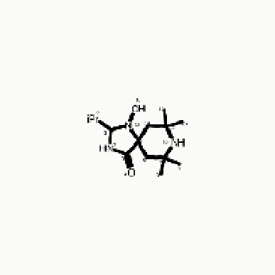 CC(C)C1NC(=O)C2(CC(C)(C)NC(C)(C)C2)N1O